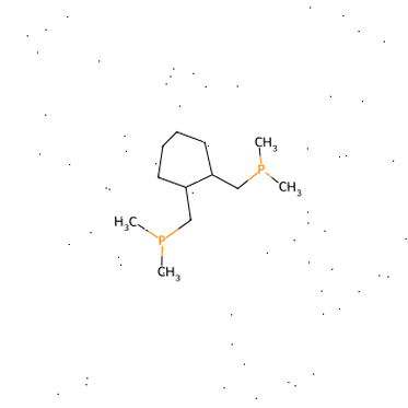 CP(C)CC1CCCCC1CP(C)C